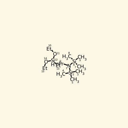 CCCN([Si](C)(C)C)[Si](C)(C)C.CCO[SiH](CC)OCC